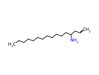 C=CCC(N)CCCCCCCCCCCC